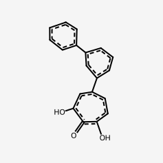 O=c1c(O)ccc(-c2cccc(-c3ccccc3)c2)cc1O